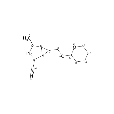 CC1NC(C#N)C2C(COC3CCCCO3)C12